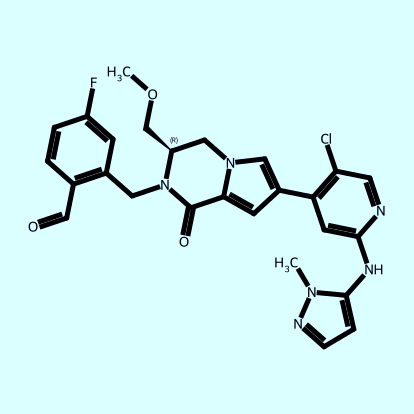 COC[C@H]1Cn2cc(-c3cc(Nc4ccnn4C)ncc3Cl)cc2C(=O)N1Cc1cc(F)ccc1C=O